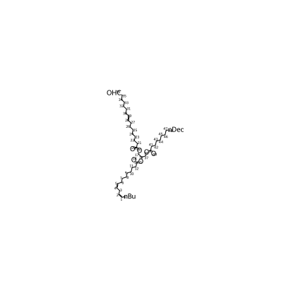 CCCC/C=C\C/C=C\CCCCCCCC(=O)OC(COC(=O)CCCCCCC/C=C/CCCCCCC=O)COC(=O)CCCCCCCCCCCCCCCCC